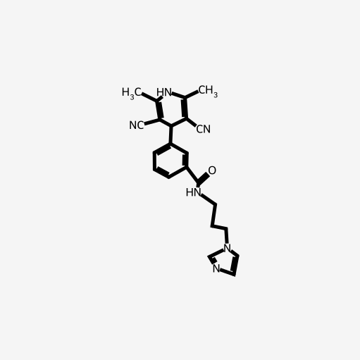 CC1=C(C#N)C(c2cccc(C(=O)NCCCn3ccnc3)c2)C(C#N)=C(C)N1